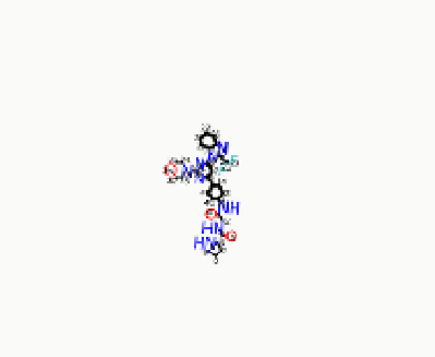 O=C(CNC(=O)[C@@H]1CCCN1)Nc1ccc(-c2cc(-n3c(C(F)F)nc4ccccc43)nc(N3CCOCC3)n2)cc1